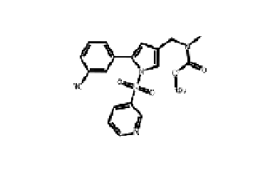 CN(Cc1cc(-c2cccc(C#N)c2)n(S(=O)(=O)c2cccnc2)c1)C(=O)OC(C)(C)C